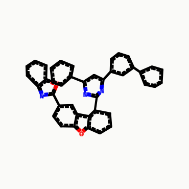 c1ccc(-c2cccc(-c3cc(-c4ccccc4)nc(-c4cccc5oc6ccc(-c7nc8ccccc8o7)cc6c45)n3)c2)cc1